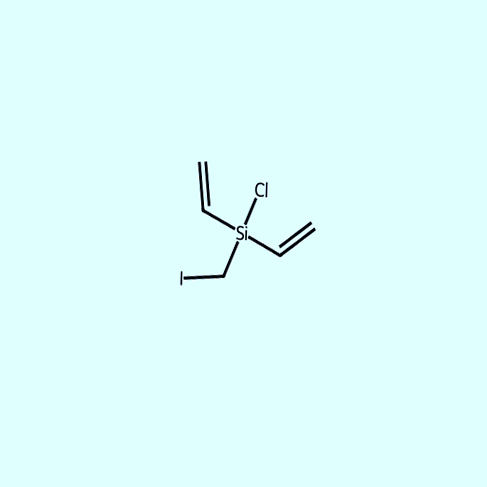 C=C[Si](Cl)(C=C)CI